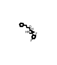 O=C(CCc1ccccc1)C1NC[C@@]2(c3cc(F)ccc3F)C[C@@H]12